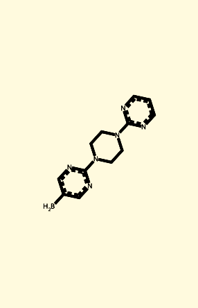 Bc1cnc(N2CCN(c3ncccn3)CC2)nc1